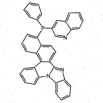 c1ccc(P(c2cnc3ccccc3c2)c2cccc3c2ccc2c3c3ccccc3n3c4ccccc4nc23)cc1